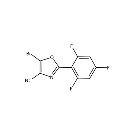 N#Cc1nc(-c2c(F)cc(F)cc2F)oc1Br